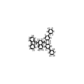 c1ccc(-c2ccc(N(c3ccc(-c4ccccc4)cc3)c3ccc(-n4c5ccccc5c5ccccc54)c4ccccc34)cc2)cc1